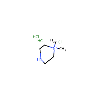 C[N+]1(C)CCNCC1.Cl.Cl.[Cl-]